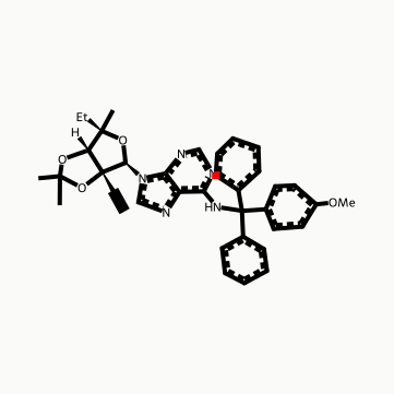 C#C[C@@]12OC(C)(C)O[C@@H]1[C@@](C)(CC)O[C@H]2n1cnc2c(NC(c3ccccc3)(c3ccccc3)c3ccc(OC)cc3)ncnc21